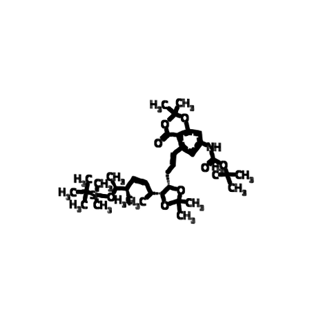 CC(/C=C\[C@@H](C)[C@H](C)O[Si](C)(C)C(C)(C)C)[C@H]1OC(C)(C)O[C@H]1C/C=C/c1cc(NC(=O)OC(C)(C)C)cc2c1C(=O)OC(C)(C)O2